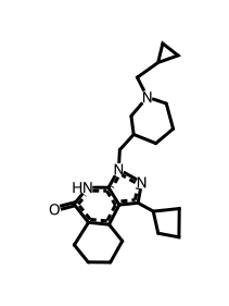 O=c1[nH]c2c(c(C3CCC3)nn2CC2CCCN(CC3CC3)C2)c2c1CCCC2